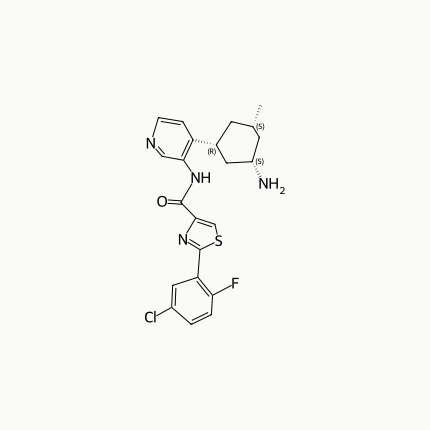 C[C@@H]1C[C@H](N)C[C@H](c2ccncc2NC(=O)c2csc(-c3cc(Cl)ccc3F)n2)C1